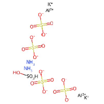 N.N.O=S(=O)(O)O.O=S(=O)([O-])[O-].O=S(=O)([O-])[O-].O=S(=O)([O-])[O-].O=S(=O)([O-])[O-].[Al+3].[Al+3].[K+].[K+]